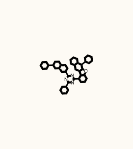 c1ccc(-c2ccc3ccc(-c4nc(-c5ccccc5)nc(-c5cccc6oc7c(-c8ccccc8)c8ccccc8cc7c56)n4)cc3c2)cc1